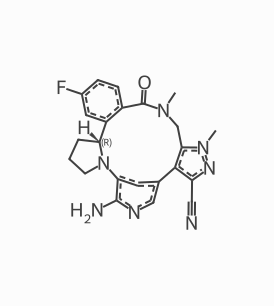 CN1Cc2c(c(C#N)nn2C)-c2cnc(N)c(c2)N2CCC[C@@H]2c2cc(F)ccc2C1=O